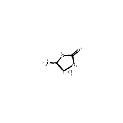 CC1COC(=O)O1.Cl